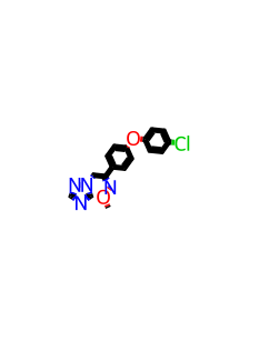 CON=C(Cn1cncn1)c1ccc(Oc2ccc(Cl)cc2)cc1